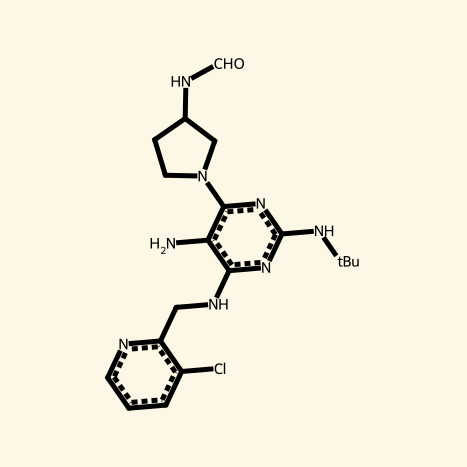 CC(C)(C)Nc1nc(NCc2ncccc2Cl)c(N)c(N2CCC(NC=O)C2)n1